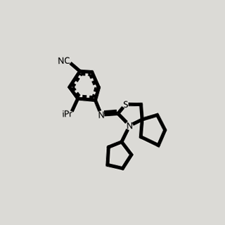 CC(C)c1cc(C#N)ccc1N=C1SCC2(CCCC2)N1C1CCCC1